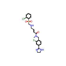 CN(Cc1ccc(C2=NCCN2)cc1F)C(=O)C=CCNCS(=O)(=O)c1ccccc1Cl